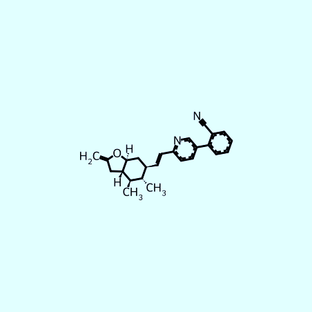 C=C1C[C@H]2[C@H](C)[C@@H](C)[C@H](/C=C/c3ccc(-c4ccccc4C#N)cn3)C[C@@H]2O1